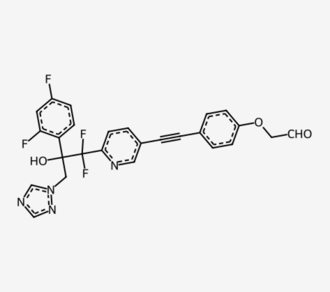 O=CCOc1ccc(C#Cc2ccc(C(F)(F)C(O)(Cn3cncn3)c3ccc(F)cc3F)nc2)cc1